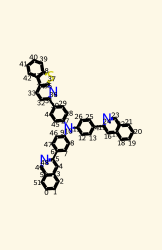 c1ccc2cc(-c3ccc(N(c4ccc(-c5cc6ccccc6cn5)cc4)c4ccc(-c5ccc6c(n5)sc5ccccc56)cc4)cc3)ncc2c1